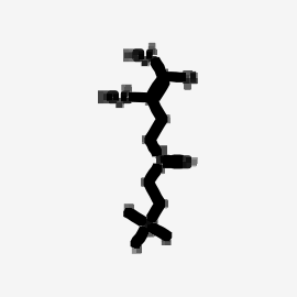 CC/C(C(=O)O)=C(\CC[PH](=O)CC[N+](C)(C)C)C(=O)O